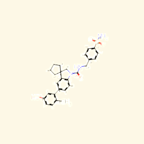 Cc1ccc(O)cc1-c1ccc2c(c1)C1(CCCC1)CN2C(=O)NCc1ccc(S(N)(=O)=O)cc1